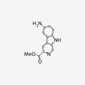 COC(=O)c1cc2c(cn1)[nH]c1ccc(N)cc12